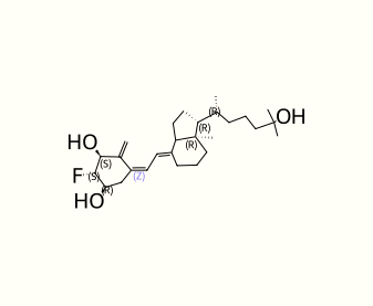 C=C1/C(=C\C=C2CCC[C@@]3(C)C2CC[C@@H]3[C@H](C)CCCC(C)(C)O)C[C@@H](O)[C@H](F)[C@H]1O